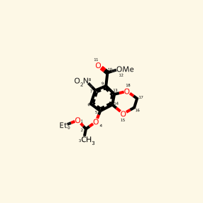 CCOC(C)Oc1cc([N+](=O)[O-])c(C(=O)OC)c2c1OCCO2